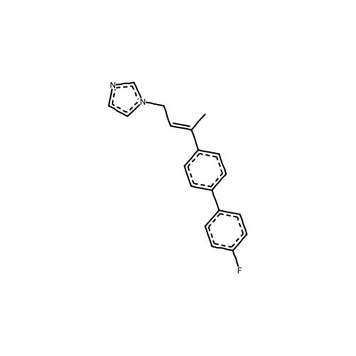 CC(=CCn1ccnc1)c1ccc(-c2ccc(F)cc2)cc1